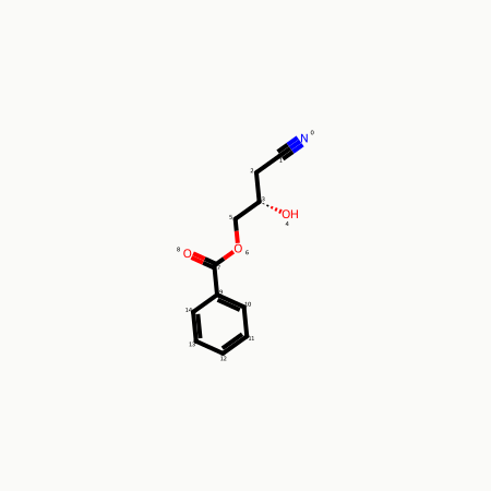 N#CC[C@H](O)COC(=O)c1ccccc1